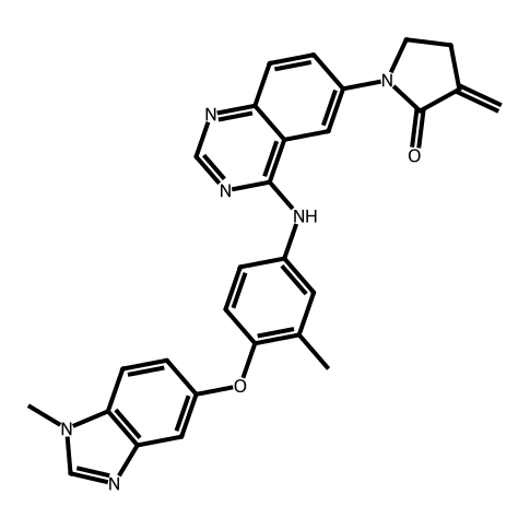 C=C1CCN(c2ccc3ncnc(Nc4ccc(Oc5ccc6c(c5)ncn6C)c(C)c4)c3c2)C1=O